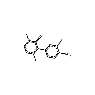 Cc1ccn(C)c(=O)c1-c1ccc(N)c(F)c1